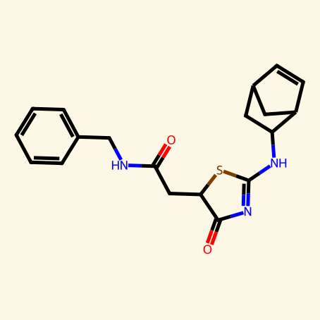 O=C(CC1SC(NC2CC3C=CC2C3)=NC1=O)NCc1ccccc1